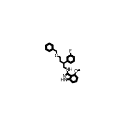 COc1cccc2[nH]nc(NCC(CCOCc3ccccc3)c3cccc(F)c3)c12